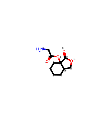 NCC(=O)OC12CCCCC1COC2=O